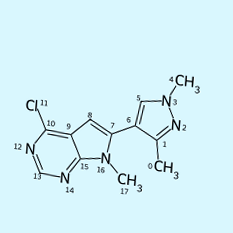 Cc1nn(C)cc1-c1cc2c(Cl)ncnc2n1C